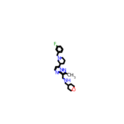 Cc1nn2c(C3CCCN(Cc4cccc(F)c4)C3)ccnc2c1CNCC1CCOCC1